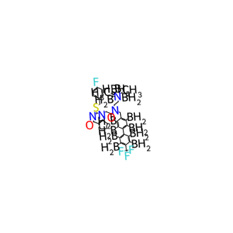 Bc1c(B)c(-c2c(B)c(B)c(C(F)(F)F)c(B)c2B)c(B)c(B)c1CN(CCN(C(B)(B)C)C(B)(B)C)C(=O)Cn1c(SCc2ccc(F)cc2)nc(=O)c2c1CCC2